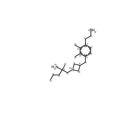 BCCc1ccc(CC2CN(CC(C)(N)CCC)C2)c(C)c1C